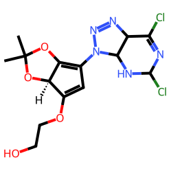 CC1(C)OC2=C(N3N=NC4C(Cl)=NC(Cl)NC43)C=C(OCCO)[C@H]2O1